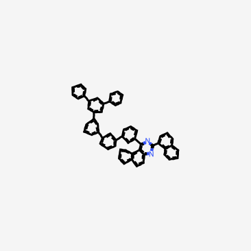 c1ccc(-c2cc(-c3ccccc3)cc(-c3cccc(-c4cccc(-c5cccc(-c6nc(-c7cccc8ccccc78)nc7ccc8ccccc8c67)c5)c4)c3)c2)cc1